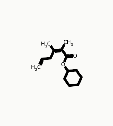 C=CCC(C)=C(C)C(=O)OC1CCCCC1